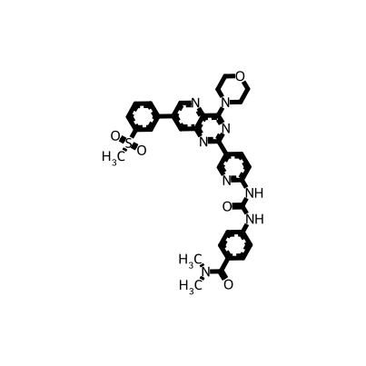 CN(C)C(=O)c1ccc(NC(=O)Nc2ccc(-c3nc(N4CCOCC4)c4ncc(-c5cccc(S(C)(=O)=O)c5)cc4n3)cn2)cc1